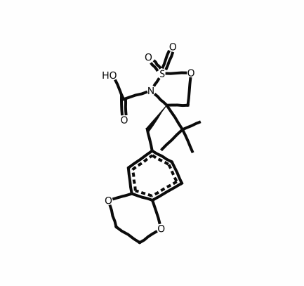 CC(C)(C)[C@@]1(Cc2ccc3c(c2)OCCO3)COS(=O)(=O)N1C(=O)O